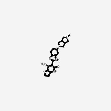 CN1CC2CN(c3ccc4nc(-c5c(N)c6sccc6[nH]c5=O)[nH]c4c3)CC2C1